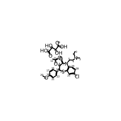 CCN(C)CCN1C(=O)[C@@H](OC(C)=O)[C@@H](c2ccc(OC)cc2)Sc2cc(Cl)ccc21.O=C(O)C(O)C(O)C(=O)O